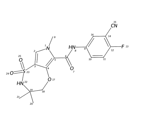 Cn1cc2c(c1C(=O)Nc1ccc(F)c(C#N)c1)OCC(C)(C)NS2(=O)=O